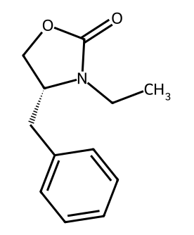 CCN1C(=O)OC[C@H]1Cc1ccccc1